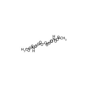 CCC(=O)OCC(=O)Nc1ccc(OCC(=O)OCCOC(=O)COc2ccc(NC(=O)COC(=O)CC)cc2)cc1